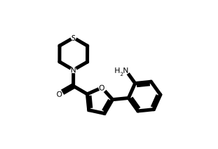 Nc1ccccc1-c1ccc(C(=O)N2CCSCC2)o1